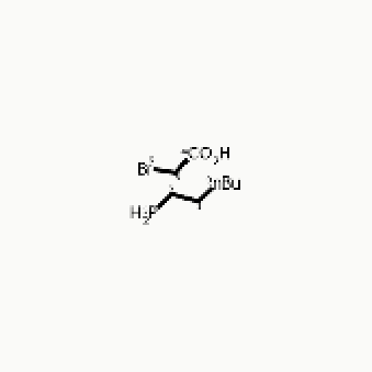 CCCCCCP.O=C(O)CBr